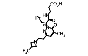 Cc1cc(CCN2CC(C(F)(F)F)C2)nn([C@@H](CC(C)C)C(=O)NCCC(=O)O)c1=O